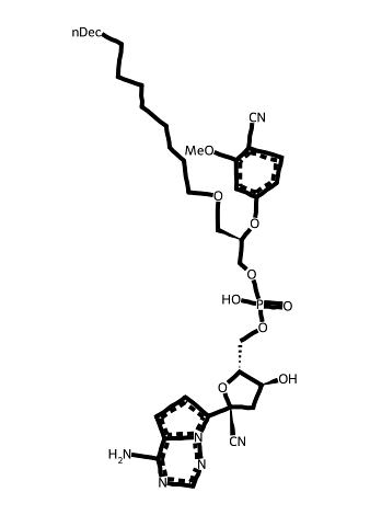 CCCCCCCCCCCCCCCCCCOC[C@H](COP(=O)(O)OC[C@H]1O[C@@](C#N)(c2ccc3c(N)ncnn23)C[C@@H]1O)Oc1ccc(C#N)c(OC)c1